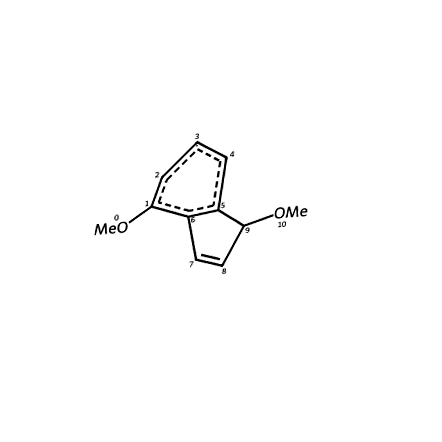 COc1c[c]cc2c1C=CC2OC